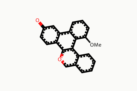 COc1cccc2c3cc(=O)ccc3c3occ4ccccc4c3c12